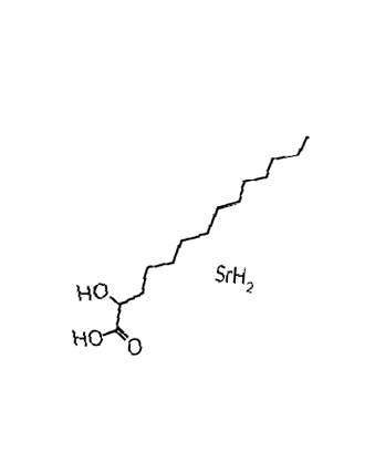 CCCCCCCCCCCCC(O)C(=O)O.[SrH2]